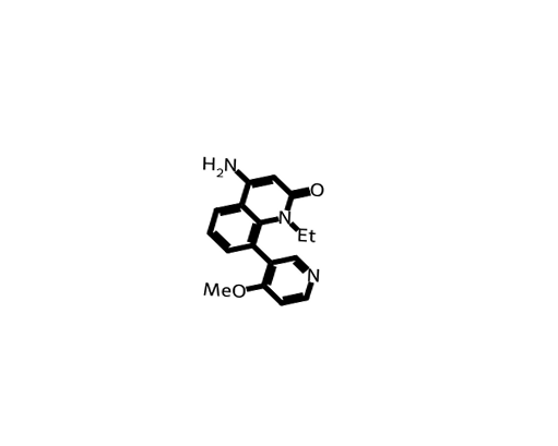 CCn1c(=O)cc(N)c2cccc(-c3cnccc3OC)c21